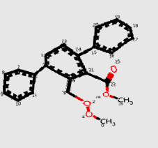 COOCc1c(-c2ccccc2)ccc(-c2ccccc2)c1C(=O)OC